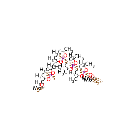 CC(C)OP(=S)([S-])OC(C)C.CC(C)OP(=S)([S-])OC(C)C.CC(C)OP(=S)([S-])OC(C)C.CC(C)OP(=S)([S-])OC(C)C.[O]=[Mo+4].[O]=[Mo+4].[O]=[Mo+4].[S-2].[S-2].[S-2].[S-2]